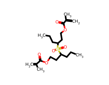 C=C(C)C(=O)OCCC(CCC)S(=O)(=O)C(CCC)CCOC(=O)C(=C)C